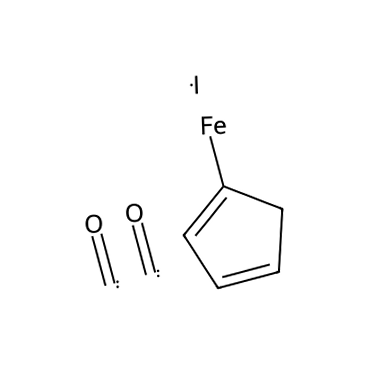 [C]=O.[C]=O.[Fe][C]1=CC=CC1.[I]